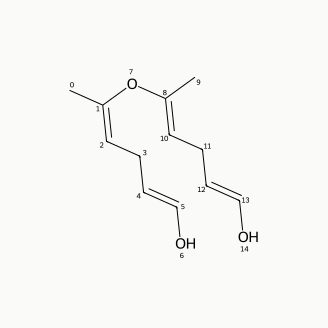 CC(=CCC=CO)OC(C)=CCC=CO